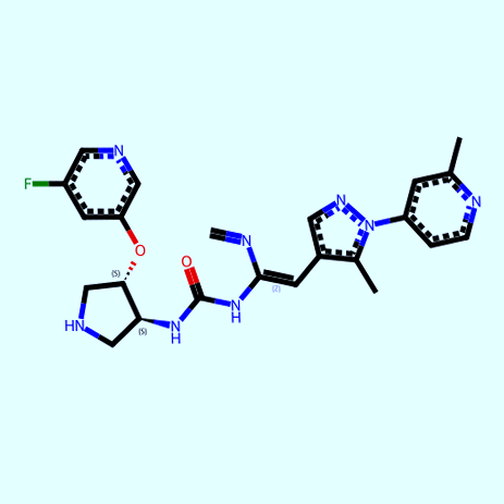 C=N/C(=C\c1cnn(-c2ccnc(C)c2)c1C)NC(=O)N[C@H]1CNC[C@@H]1Oc1cncc(F)c1